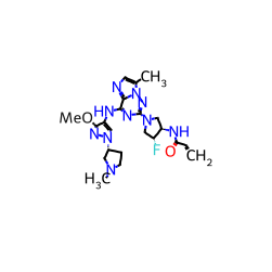 C=CC(=O)N[C@@H]1CN(c2nc(Nc3cn([C@@H]4CCN(C)C4)nc3OC)c3ncc(C)n3n2)C[C@H]1F